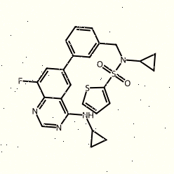 O=S(=O)(c1cccs1)N(Cc1cccc(-c2cc(F)c3ncnc(NC4CC4)c3c2)c1)C1CC1